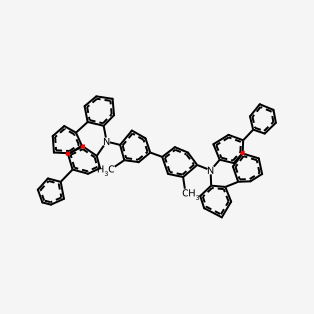 Cc1cc(-c2ccc(N(c3ccc(-c4ccccc4)cc3)c3ccccc3-c3ccccc3)c(C)c2)ccc1N(c1ccc(-c2ccccc2)cc1)c1ccccc1-c1ccccc1